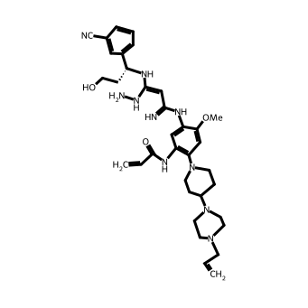 C=CCN1CCN(C2CCN(c3cc(OC)c(NC(=N)/C=C(\NN)N[C@H](CCO)c4cccc(C#N)c4)cc3NC(=O)C=C)CC2)CC1